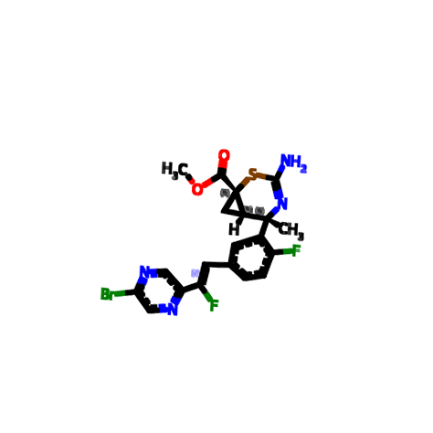 COC(=O)[C@]12C[C@H]1[C@@](C)(c1cc(/C=C(\F)c3cnc(Br)cn3)ccc1F)N=C(N)S2